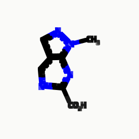 Cn1ncc2cnc(C(=O)O)nc21